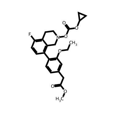 CCOc1cc(CC(=O)OC)ccc1-c1ccc(F)c2c1CN(OC(=O)OC1CC1)CC2